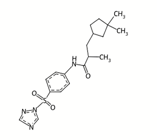 CC(CC1CCC(C)(C)C1)C(=O)Nc1ccc(S(=O)(=O)n2cncn2)cc1